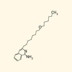 CCCCCCOCCCCCCCCc1cc2ccccc2c(N)n1